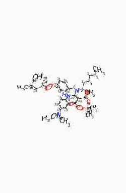 CCCCCC(C)N(Cc1ccc(OCCC(C)C)cc1)C(Nc1ccc(N(C)C)cc1)=C1C(=O)OC(C)(C)OC1=O